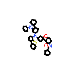 c1ccc(-c2nc3ccc4oc5cc(N(c6ccc7c8ccccc8n(-c8ccccc8)c7c6)c6cccc7c6sc6ccccc67)ccc5c4c3o2)cc1